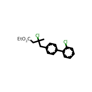 CCOC(=O)CC(C)(Cl)Cc1ccc(-c2ccccc2Cl)cc1